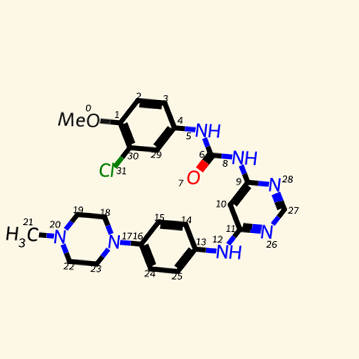 COc1ccc(NC(=O)Nc2cc(Nc3ccc(N4CCN(C)CC4)cc3)ncn2)cc1Cl